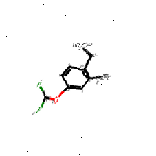 CC(C)c1cc(OC(F)F)ccc1CC(=O)O